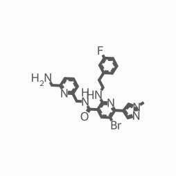 Cn1cc(-c2nc(NCCc3cccc(F)c3)c(C(=O)NCc3cccc(CN)n3)cc2Br)cn1